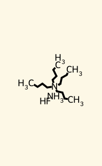 CCCC[N+](CCCC)(CCCC)CCCC.F.N